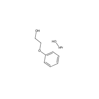 CCCO.OCCOc1ccccc1